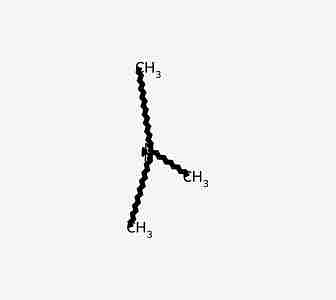 CCCCCCCCCCCCCCCCCCCN1C=CN(CCCCCCCCCCCCCCCCC)C1CCCCCCCCCC